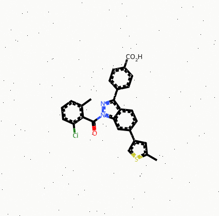 Cc1cc(-c2ccc3c(-c4ccc(C(=O)O)cc4)nn(C(=O)c4c(C)cccc4Cl)c3c2)cs1